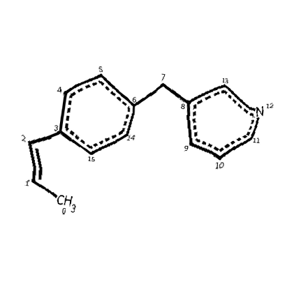 C/[C]=C\c1ccc(Cc2cccnc2)cc1